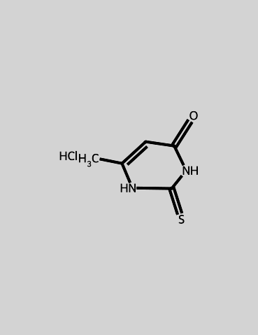 Cc1cc(=O)[nH]c(=S)[nH]1.Cl